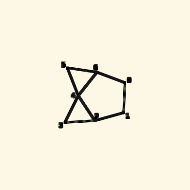 C1CC2CC23CC13